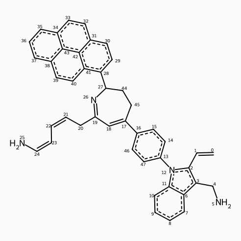 C=Cc1c(CN)c2ccccc2n1-c1ccc(C2=CC(C/C=C\C=C/N)=NC(c3ccc4ccc5cccc6ccc3c4c56)CC2)cc1